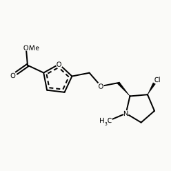 COC(=O)c1ccc(COC[C@H]2[C@@H](Cl)CCN2C)o1